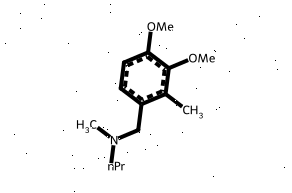 CCCN(C)Cc1ccc(OC)c(OC)c1C